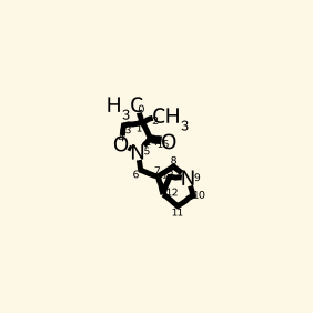 CC1(C)CON(CC2CN3CCC2C3)C1=O